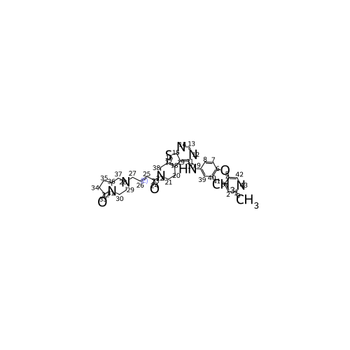 Cc1ccc(Oc2ccc(Nc3ncnc4sc5c(c34)CCN(C(=O)/C=C/CN3CCN4C(=O)CCC4C3)C5)cc2C)cn1